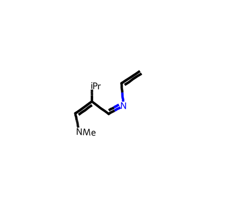 C=C/N=C\C(=C/NC)C(C)C